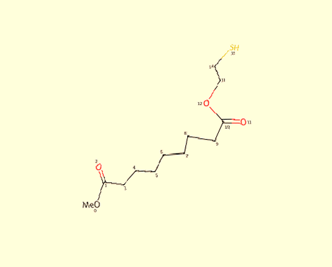 COC(=O)CCCCCCCC(=O)OCCS